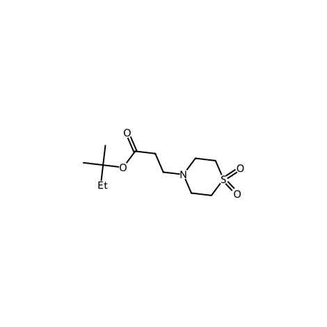 CCC(C)(C)OC(=O)CCN1CCS(=O)(=O)CC1